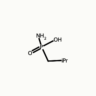 CC(C)CP(N)(=O)O